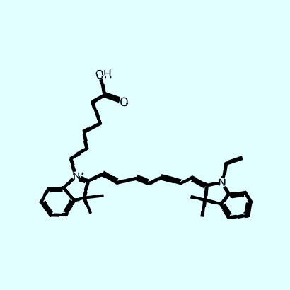 CCN1/C(=C/C=C/C=C/C=C/C2=[N+](CCCCCC(=O)O)c3ccccc3C2(C)C)C(C)(C)c2ccccc21